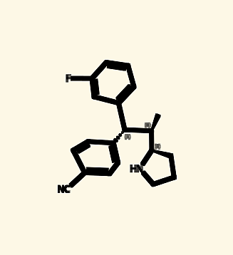 C[C@H]([C@H](c1ccc(C#N)cc1)c1cccc(F)c1)[C@H]1CCCN1